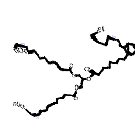 CC/C=C\C/C=C\CC1C2C=CC(C2)C1CCCCCCCC(=O)OC(COC(=O)CCCCCCC/C=C\CCCCCCCC)COC(=O)CCCCCCC/C=C\CCCCCCCC